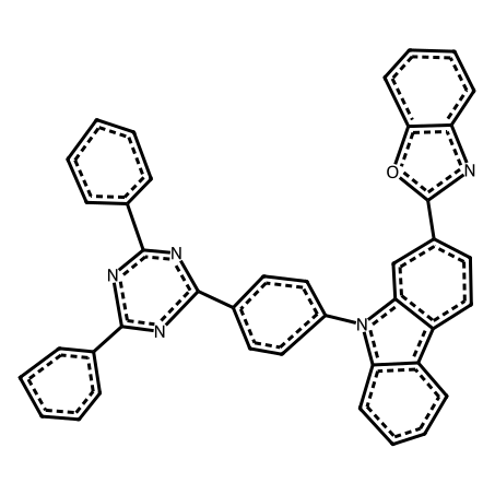 c1ccc(-c2nc(-c3ccccc3)nc(-c3ccc(-n4c5ccccc5c5ccc(-c6nc7ccccc7o6)cc54)cc3)n2)cc1